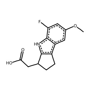 COc1cc(F)c2[nH]c3c(c2c1)CCC3CC(=O)O